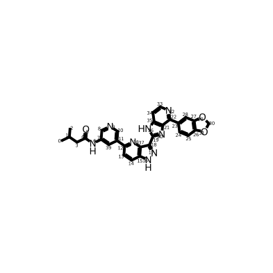 CC(C)CC(=O)Nc1cncc(-c2ccc3[nH]nc(-c4nc5c(-c6ccc7c(c6)OCO7)nccc5[nH]4)c3n2)c1